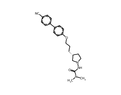 CN(C)C(=O)NN1CC[C@@H](CCCOc2ccc(-c3ccc(C#N)cc3)cc2)C1